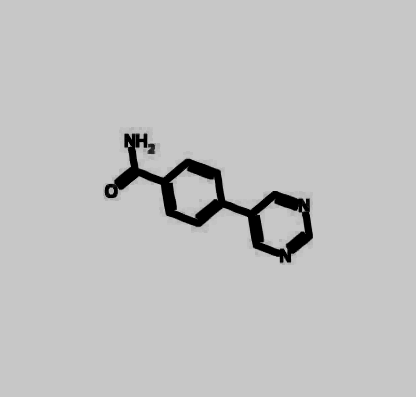 NC(=O)c1ccc(-c2cncnc2)cc1